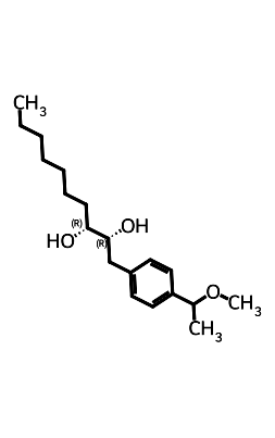 CCCCCCC[C@@H](O)[C@H](O)Cc1ccc(C(C)OC)cc1